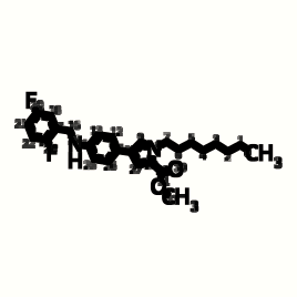 CCCCCCCCn1cc(-c2ccc(NCc3cc(F)ccc3F)cc2)cc1C(=O)OC